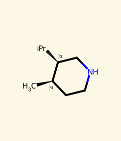 CC(C)[C@H]1CNCC[C@H]1C